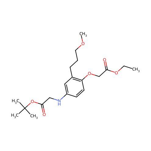 CCOC(=O)COc1ccc(NCC(=O)OC(C)(C)C)cc1CCCOC